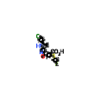 O=C(c1ccc(Sc2ccc(F)cc2)c(C(=O)O)c1)c1ccc(NC(c2ccc(Cl)cc2)C2CC2)cn1